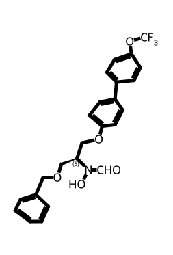 O=CN(O)[C@@H](COCc1ccccc1)COc1ccc(-c2ccc(OC(F)(F)F)cc2)cc1